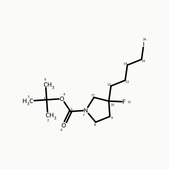 CC(C)(C)OC(=O)N1CCC(F)(CCCCI)C1